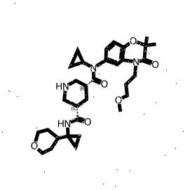 COCCCN1C(=O)C(C)(C)Oc2ccc(N(C(=O)[C@H]3CNC[C@@H](C(=O)NC4(C5CCOCC5)CC4)C3)C3CC3)cc21